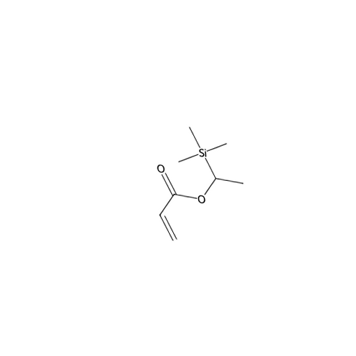 C=CC(=O)OC(C)[Si](C)(C)C